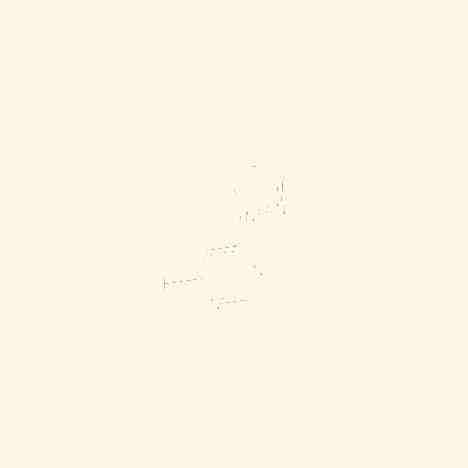 Cc1c[c]n(-c2cc(Cl)ncn2)n1